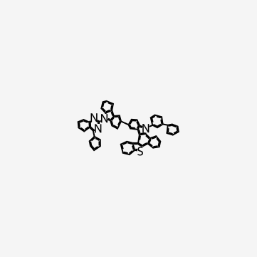 c1ccc(-c2cccc(-n3c4ccc(-c5ccc6c(c5)c5ccccc5n6-c5nc(-c6ccccc6)c6ccccc6n5)cc4c4c5c6ccccc6sc5c5ccccc5c43)c2)cc1